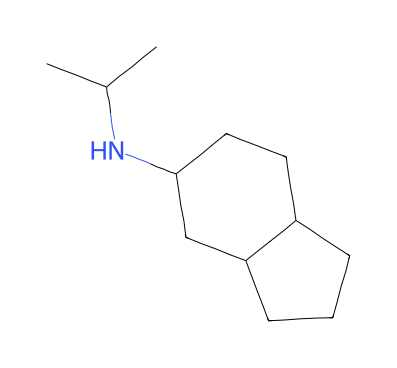 CC(C)NC1CCC2CCCC2C1